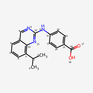 CC(C)c1cccc2cnc(Nc3ccc(C(=O)O)cc3)nc12